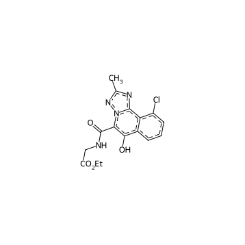 CCOC(=O)CNC(=O)c1c(O)c2cccc(Cl)c2c2nc(C)nn12